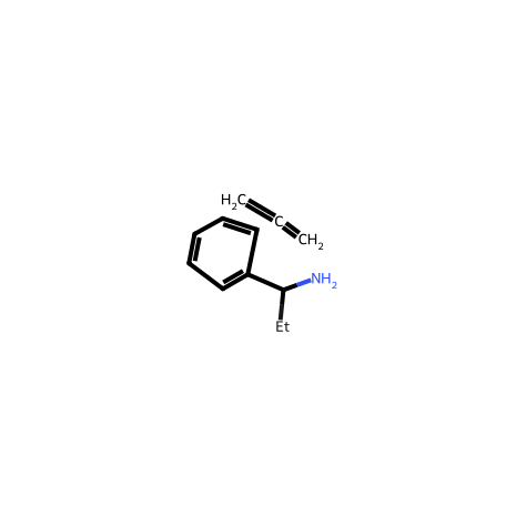 C=C=C.CCC(N)c1ccccc1